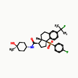 C[C@]1(O)CC[C@H](NC(=O)[C@@H]2CC[C@@]3(S(=O)(=O)c4ccc(F)cc4)c4ccc(C(F)(C(F)(F)F)C(F)(F)F)cc4CC[C@@H]23)CC1